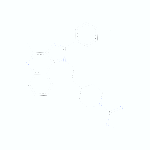 Cl.N=C(N)N1CCC(CCn2c(-c3ccccc3)nc3c(Cl)nc4ccccc4c32)CC1